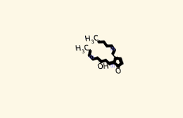 CC/C=C\C[C@H](O)C/C=C1/C(=O)C=C[C@@H]1C/C=C\CCCC